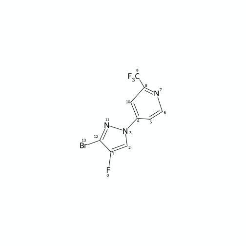 Fc1cn(-c2ccnc(C(F)(F)F)c2)nc1Br